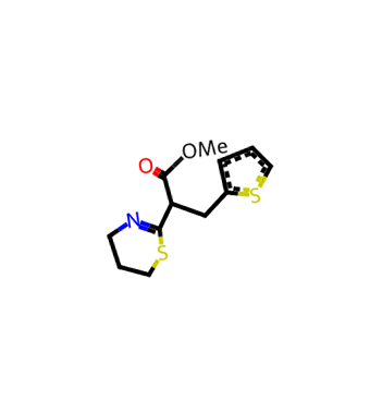 COC(=O)C(Cc1cccs1)C1=NCCCS1